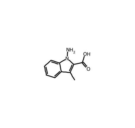 Cc1c(C(=O)O)n(N)c2ccccc12